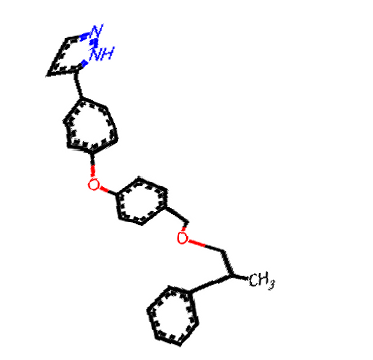 CC(COCc1ccc(Oc2ccc(-c3ccn[nH]3)cc2)cc1)c1ccccc1